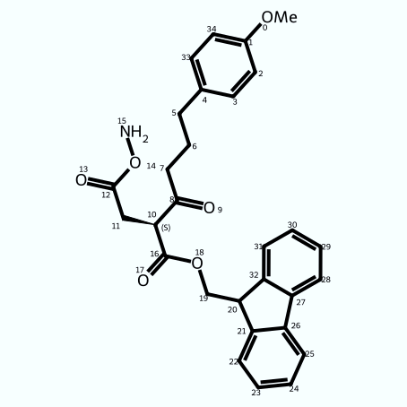 COc1ccc(CCCC(=O)[C@H](CC(=O)ON)C(=O)OCC2c3ccccc3-c3ccccc32)cc1